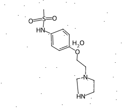 CS(=O)(=O)Nc1ccc(OCCN2CCNCC2)cc1.O